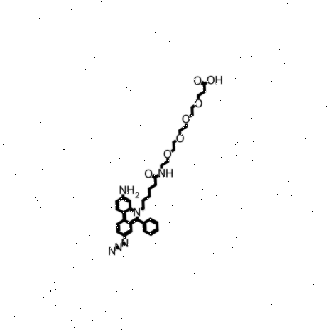 [N-]=[N+]=Nc1ccc2c(c1)c(-c1ccccc1)[n+](CCCCCC(=O)NCCOCCOCCOCCOCCC(=O)O)c1cc(N)ccc21